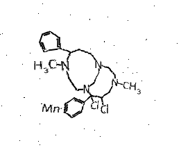 CN1CCN2CCC(c3ccccc3)N(C)CCN(CC2)C(Cl)(c2ccccc2)C(Cl)C1.[Mn]